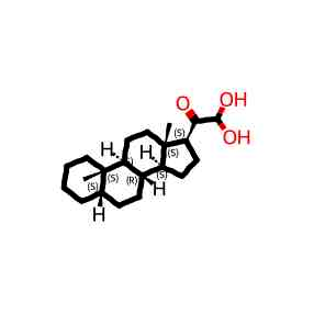 C[C@]12CCCC[C@H]1CC[C@@H]1[C@@H]2CC[C@]2(C)[C@@H](C(=O)C(O)O)CC[C@@H]12